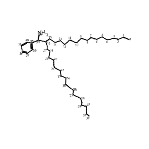 CCCCCCCCCCCCCCCCC(CCCCCCCCCCCCCCCC)C(N)c1ccccc1